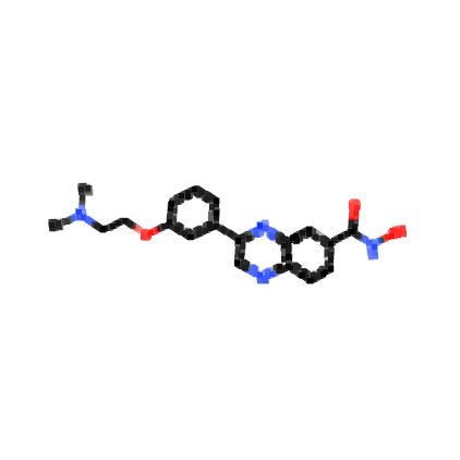 CCN(CC)CCOc1cccc(-c2cnc3ccc(C(=O)NO)cc3n2)c1